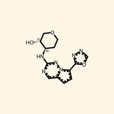 O[C@@H]1COCC[C@H]1Nc1ncc2ccc(-c3nnco3)n2n1